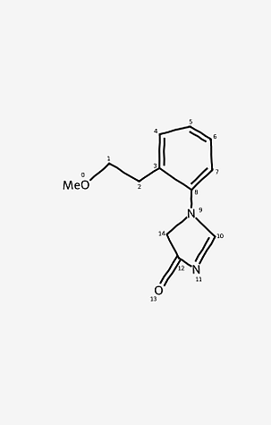 COCCc1ccccc1N1C=NC(=O)C1